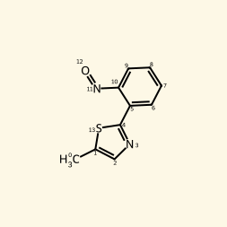 Cc1cnc(-c2ccccc2N=O)s1